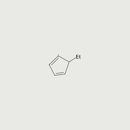 CCC1[C]=CC=C1